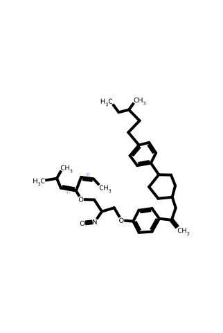 C=C(CC1CCC(c2ccc(CCC(C)CC)cc2)CC1)c1ccc(OCC(COC(/C=C\C)=C/C(C)C)N=O)cc1